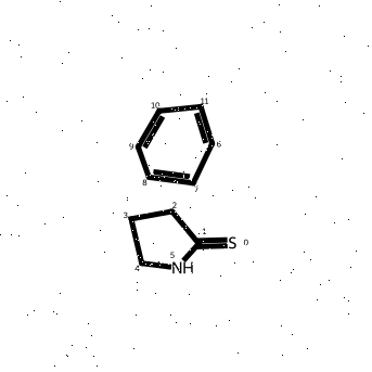 S=C1CCCN1.c1ccccc1